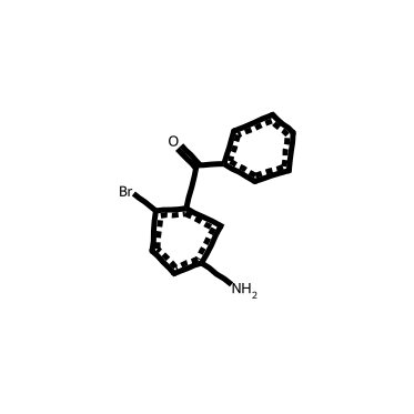 Nc1ccc(Br)c(C(=O)c2ccccc2)c1